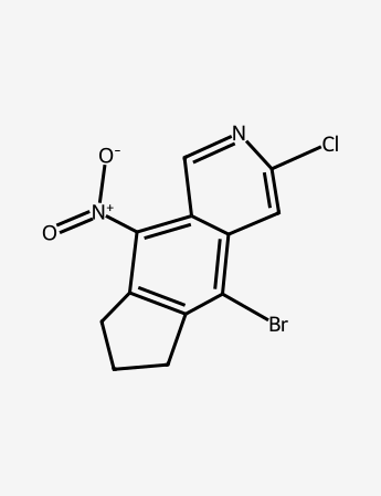 O=[N+]([O-])c1c2c(c(Br)c3cc(Cl)ncc13)CCC2